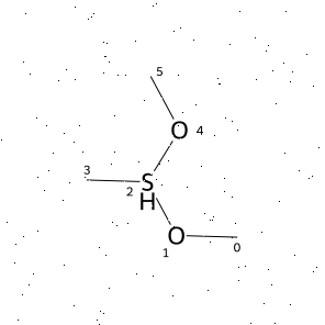 CO[SH](C)OC